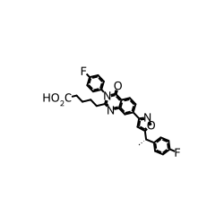 C[C@@H](c1ccc(F)cc1)c1cc(-c2ccc3c(=O)n(-c4ccc(F)cc4)c(CCCCC(=O)O)nc3c2)no1